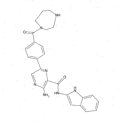 Nc1ncc(-c2ccc(C(=O)N3CCCNCC3)cc2)nc1C(=O)Nc1cc2ccccc2[nH]1